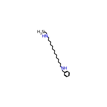 [SiH3]CNCCCCCCCCCCCCCCNCc1ccccc1